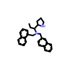 CCC(C1CCCN1)N(Cc1ccc2ccccc2c1)Cc1cccc2ccccc12